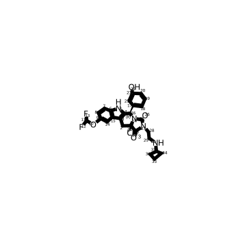 C[C@@]12Cc3c([nH]c4ccc(OC(F)F)cc34)[C@@H](c3cccc(O)c3)N1C(=O)N(CCNC1CCC1)C2=O